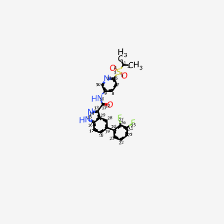 CC(C)S(=O)(=O)c1ccc(NC(=O)c2n[nH]c3ccc(-c4cccc(F)c4F)cc23)cn1